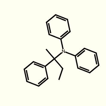 CCC(C)(c1ccccc1)N(c1ccccc1)c1ccccc1